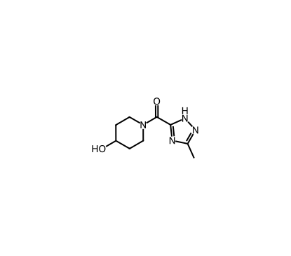 Cc1n[nH]c(C(=O)N2CCC(O)CC2)n1